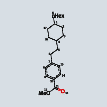 CCCCCCC1CCC(CCc2ccc(C(=O)OC)cc2)CC1